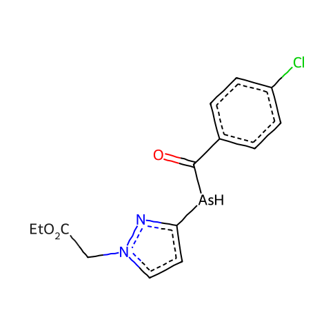 CCOC(=O)Cn1ccc([AsH]C(=O)c2ccc(Cl)cc2)n1